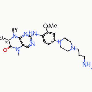 CC[C@@H]1C(=O)N(C)c2cnc(Nc3ccc(N4CCN(CCCN)CC4)cc3OC)nc2N1C(C)C